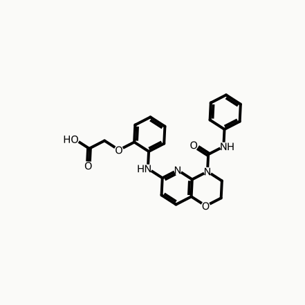 O=C(O)COc1ccccc1Nc1ccc2c(n1)N(C(=O)Nc1ccccc1)CCO2